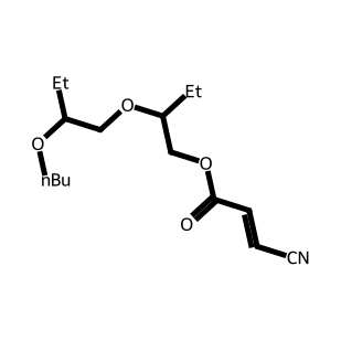 CCCCOC(CC)COC(CC)COC(=O)C=CC#N